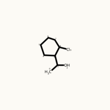 CC(O)C1CCCCC1Cl